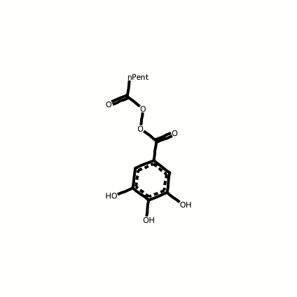 CCCCCC(=O)OOC(=O)c1cc(O)c(O)c(O)c1